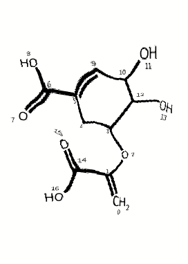 C=C(OC1CC(C(=O)O)=CC(O)C1O)C(=O)O